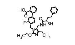 CCOc1nc(CC)c(CNC(=O)C(S)CCc2ccccc2)n1Cc1ccc(-c2ccccc2C(=O)O)cc1F